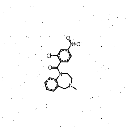 CN1CCN(C(=O)c2ccc([N+](=O)[O-])cc2Cl)c2ccccc2C1